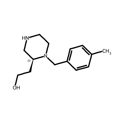 Cc1ccc(CN2CCNC[C@@H]2CCO)cc1